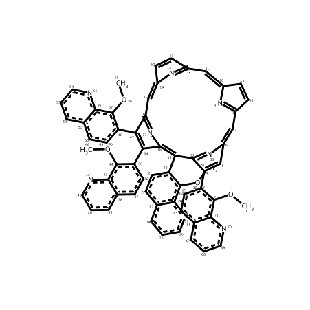 COc1c(C2=CC3=CC4=NC(=CC5=NC(=CC6=NC(=C(c7ccc8cccnc8c7OC)C2=N3)C(c2ccc3cccnc3c2OC)=C6c2ccc3cccnc3c2OC)C=C5)C=C4)ccc2cccnc12